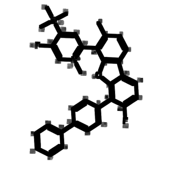 Cc1ccc2c(oc3c(-c4ccc(-c5ccccc5)cc4)c(F)ccc32)c1-c1cc([Si](C)(C)C)c(F)c[n+]1C